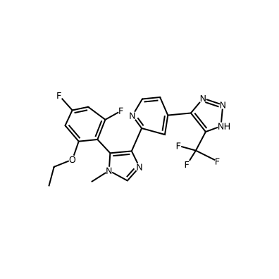 CCOc1cc(F)cc(F)c1-c1c(-c2cc(-c3nn[nH]c3C(F)(F)F)ccn2)ncn1C